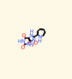 O.O=c1[nH]c(=O)c2[nH]c(C3=CC=CC=CN3)nc2[nH]1